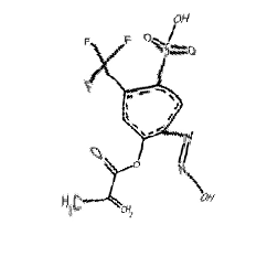 C=C(C)C(=O)Oc1cc(C(F)(F)F)c(S(=O)(=O)O)cc1/N=N/O